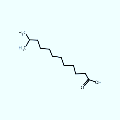 C[C](C)CCCCCCCCCC(=O)O